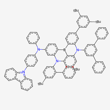 CC(C)(C)c1cc(-c2ccc3c(c2)N(c2cc(-c4ccccc4)cc(-c4ccccc4)c2)c2cc(C(C)(C)C)cc4c2B3c2ccc(N(c3ccccc3)c3ccc(-n5c6ccccc6c6ccccc65)cc3)cc2N4c2ccc(C(C)(C)C)cc2-c2ccccc2)cc(C(C)(C)C)c1